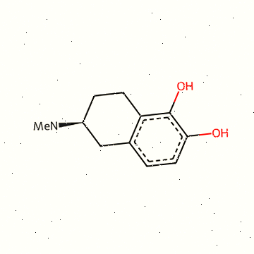 CN[C@H]1CCc2c(ccc(O)c2O)C1